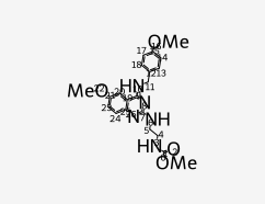 COC(=O)NCCNc1nc(NCc2ccc(OC)cc2)c2cc(OC)ccc2n1